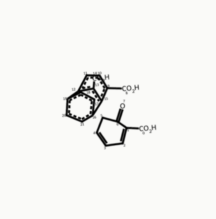 O=C(O)C1=CC=CCC1=O.O=C(O)c1ccc2c(C(=O)O)c1-c1ccc-2cc1